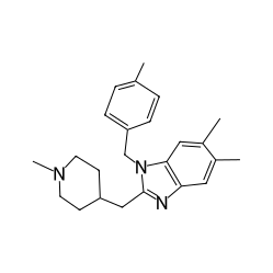 Cc1ccc(Cn2c(CC3CCN(C)CC3)nc3cc(C)c(C)cc32)cc1